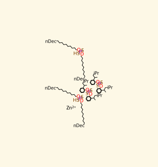 CC(C)CC(C)c1ccccc1OP(=S)([S-])Oc1ccccc1C(C)CC(C)C.CC(C)CC(C)c1ccccc1OP(=S)([S-])Oc1ccccc1C(C)CC(C)C.CCCCCCCCCCCCCCCCCCCCOP(=S)(S)OCCCCCCCCCCCCCCCCCCCC.CCCCCCCCCCCCCCCCCCCCOP(=S)(S)OCCCCCCCCCCCCCCCCCCCC.[Zn+2]